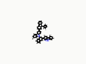 c1ccc(C2c3ccccc3-c3ccc(-c4ccc5c(c4)c4ccccc4n5-c4cc(-c5ccc6c(c5)[nH]c5ccccc56)cc5ccccc45)cc32)cc1